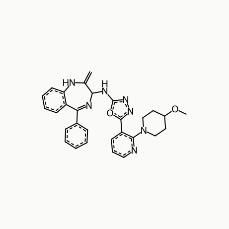 C=C1Nc2ccccc2C(c2ccccc2)=NC1Nc1nnc(-c2cccnc2N2CCC(OC)CC2)o1